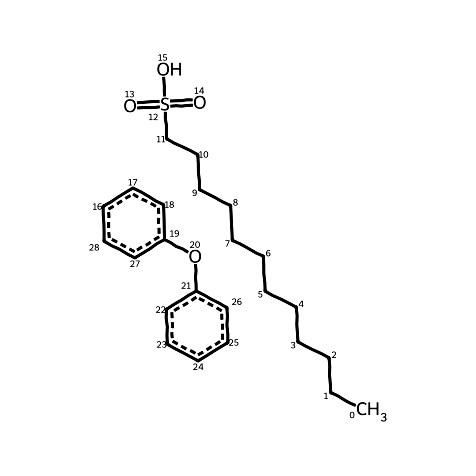 CCCCCCCCCCCCS(=O)(=O)O.c1ccc(Oc2ccccc2)cc1